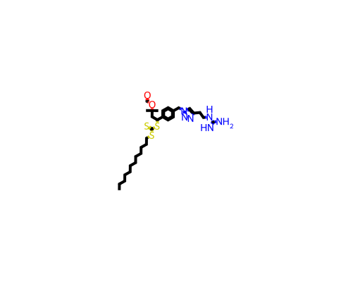 CCCCCCCCCCCCSC(=S)SC(CC(C)(C)OC=O)c1ccc(Cn2cc(CCNC(=N)N)nn2)cc1